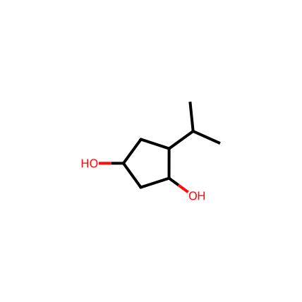 CC(C)C1CC(O)CC1O